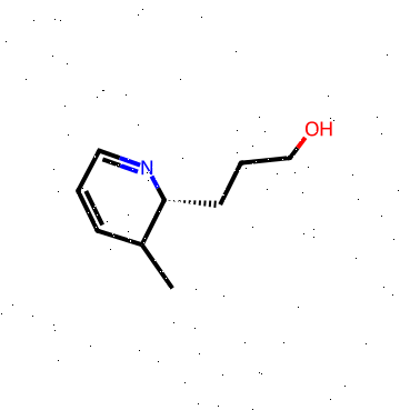 CC1C=CC=N[C@@H]1CCCO